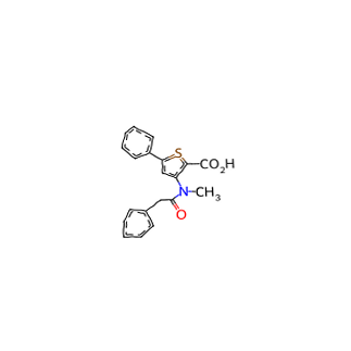 CN(C(=O)Cc1ccccc1)c1cc(-c2ccccc2)sc1C(=O)O